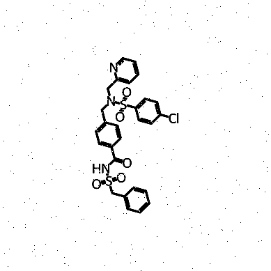 O=C(NS(=O)(=O)Cc1ccccc1)c1ccc(CN(Cc2ccccn2)S(=O)(=O)c2ccc(Cl)cc2)cc1